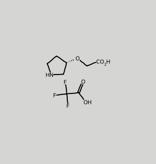 O=C(O)C(F)(F)F.O=C(O)CO[C@H]1CCNC1